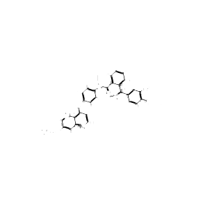 COc1cnc2c(Oc3ccc(Nc4nnc(-c5ccc(C)c(O)c5)c5ccccc45)cc3)ccnc2c1